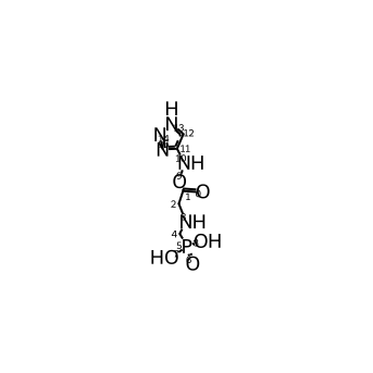 O=C(CNCP(=O)(O)O)ONc1c[nH]nn1